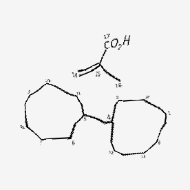 C1CCCC(C2CCCCCC2)CC1.C=C(C)C(=O)O